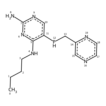 CCCCNc1nc(N)ncc1PCc1cnccn1